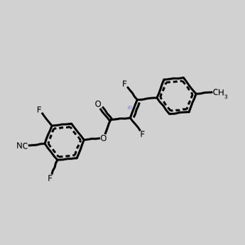 Cc1ccc(/C(F)=C(\F)C(=O)Oc2cc(F)c(C#N)c(F)c2)cc1